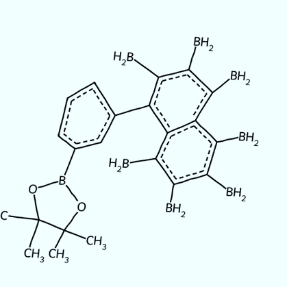 Bc1c(B)c(B)c2c(-c3cccc(B4OC(C)(C)C(C)(C)O4)c3)c(B)c(B)c(B)c2c1B